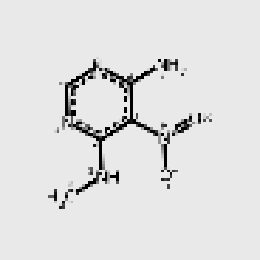 CNc1ncnc(N)c1[N+](=O)[O-]